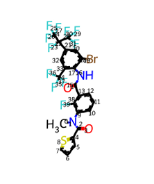 CN(C(=O)c1cccs1)c1cccc(C(=O)Nc2c(Br)cc(C(F)(C(F)(F)F)C(F)(F)F)cc2C(F)(F)F)c1F